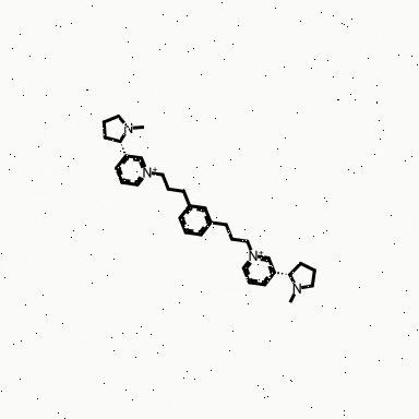 CN1CCC[C@H]1c1ccc[n+](CCCc2cccc(CCC[n+]3cccc([C@@H]4CCCN4C)c3)c2)c1